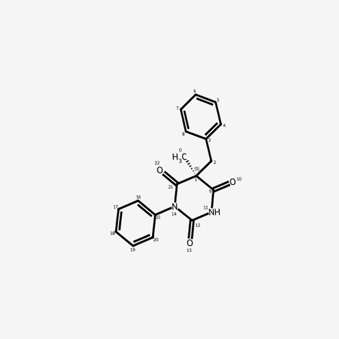 C[C@]1(Cc2ccccc2)C(=O)NC(=O)N(c2ccccc2)C1=O